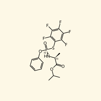 CC(C)OC(=O)[C@H](C)N[P@](=O)(Oc1ccccc1)Sc1c(F)c(F)c(F)c(F)c1F